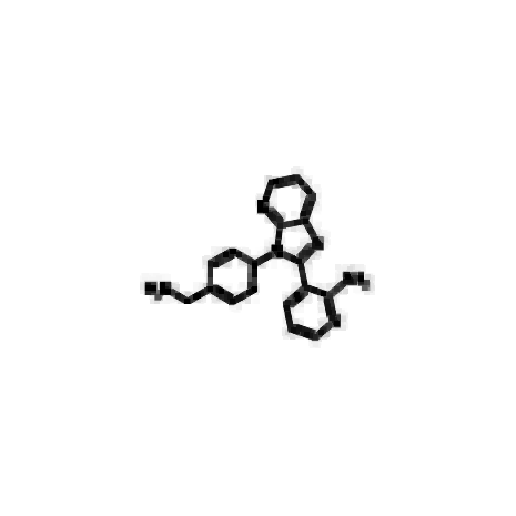 NCc1ccc(-n2c(-c3cccnc3N)nc3cccnc32)cc1